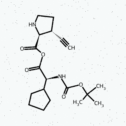 C#C[C@H]1CCN[C@@H]1C(=O)OC(=O)[C@@H](NC(=O)OC(C)(C)C)C1CCCC1